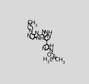 CN(C)CC(=O)Nc1cncc(-c2cnc3[nH]nc(-c4nc5c(N6CCN(C)CC6)nccc5[nH]4)c3c2)c1